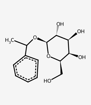 CC(O[C@@H]1O[C@H](CO)[C@H](O)[C@H](O)[C@H]1O)c1ccccc1